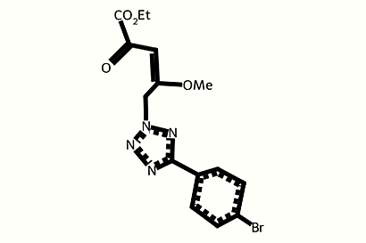 CCOC(=O)C(=O)/C=C(\Cn1nnc(-c2ccc(Br)cc2)n1)OC